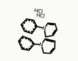 C1=CCN(c2ccccc2)C=C1.C1=CCN(c2ccccc2)C=C1.Cl.Cl